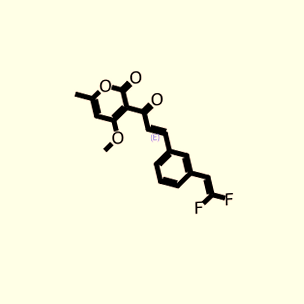 COc1cc(C)oc(=O)c1C(=O)/C=C/c1cccc(C=C(F)F)c1